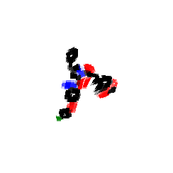 O=C(Nc1ccc(Oc2ccc(F)cc2)cc1)[C@@H]1C[C@@H](Cc2ccccc2)CN1C(=O)CCCC1C=CC2=C(C1)OCCO2